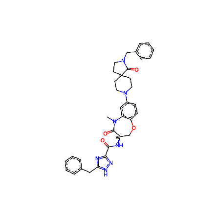 CN1C(=O)[C@H](NC(=O)c2n[nH]c(Cc3ccccc3)n2)COc2ccc(N3CCC4(CCN(Cc5ccccc5)C4=O)CC3)cc21